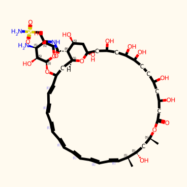 C[C@H]1C[C@H](O)[C@@H](C)/C=C/C=C/C=C/C=C/C=C/C=C/C=C/C(O[C@@H]2OC[C@@H](O)[C@H](N)[C@@H]2O)C[C@@H]2OC(O)(CC(O)CC(O)C(O)CCC(O)CC(O)CC(=O)O1)C[C@H](O)[C@H]2C(=O)NCCS(N)(=O)=O